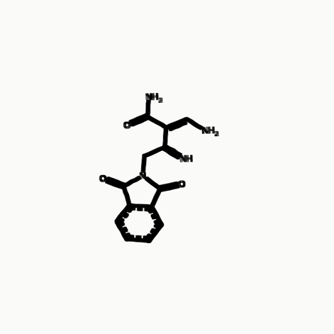 N=C(CN1C(=O)c2ccccc2C1=O)/C(=C\N)C(N)=O